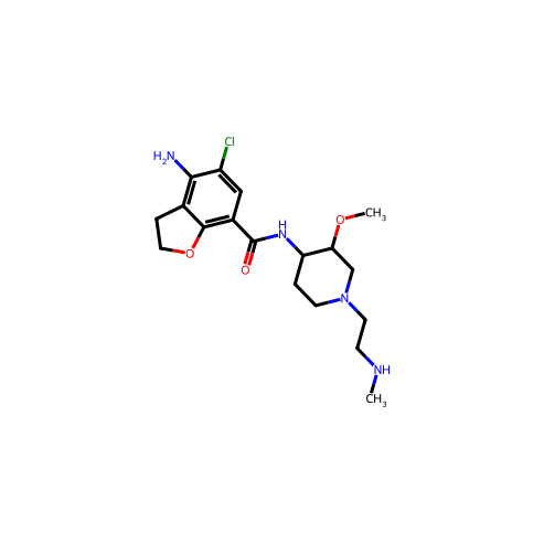 CNCCN1CCC(NC(=O)c2cc(Cl)c(N)c3c2OCC3)C(OC)C1